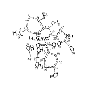 Cc1ccc(F)c(C(C)[C@H](NS(=O)(=O)c2ccc(Cl)cc2C(C)(C)CO)c2n[nH]c(=O)o2)c1C